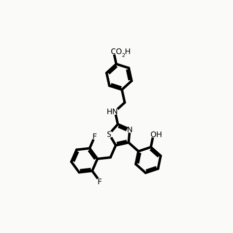 O=C(O)c1ccc(CNc2nc(-c3ccccc3O)c(Cc3c(F)cccc3F)s2)cc1